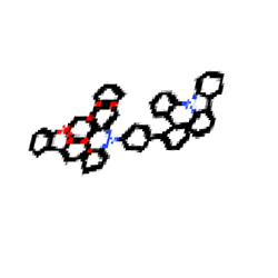 c1ccc(-c2cccc(-c3ccccc3N(c3ccc(-c4ccccc4-c4ccccc4-n4c5ccccc5c5ccccc54)cc3)c3ccccc3-c3cccc4c3oc3ccccc34)c2)cc1